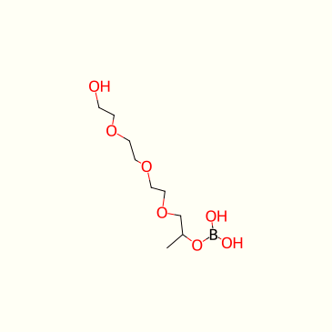 CC(COCCOCCOCCO)OB(O)O